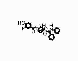 O=C(C[N+]12CCC(CC1)[C@@H](OC(=O)[C@H](Nc1ccccc1)c1ccccc1)C2)c1ccc(O)c(F)c1